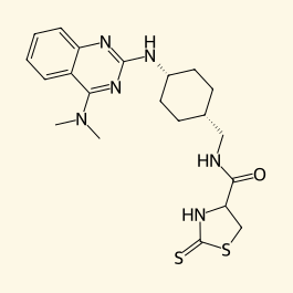 CN(C)c1nc(N[C@H]2CC[C@@H](CNC(=O)C3CSC(=S)N3)CC2)nc2ccccc12